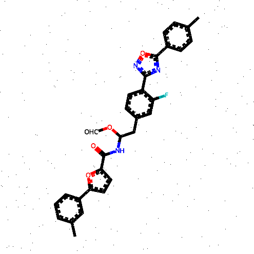 Cc1ccc(-c2nc(-c3ccc(CC(NC(=O)c4ccc(-c5cccc(C)c5)o4)OC=O)cc3F)no2)cc1